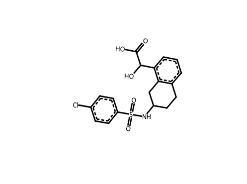 O=C(O)C(O)c1cccc2c1CC(NS(=O)(=O)c1ccc(Cl)cc1)CC2